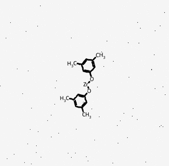 Cc1cc(C)cc([O][Zr][O]c2cc(C)cc(C)c2)c1